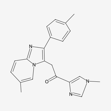 Cc1ccc(-c2nc3ccc(C)cn3c2CC(=O)c2cn(C)cn2)cc1